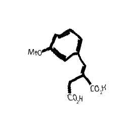 COc1cccc(C=C(CC(=O)O)C(=O)O)c1